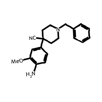 COc1cc(C2(C#N)CCN(Cc3ccccc3)CC2)ccc1N